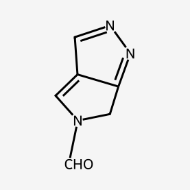 O=CN1C=C2C=NN=C2C1